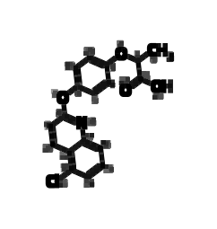 CC(Oc1ccc(Oc2ccc3c(Cl)cccc3n2)cc1)C(=O)O